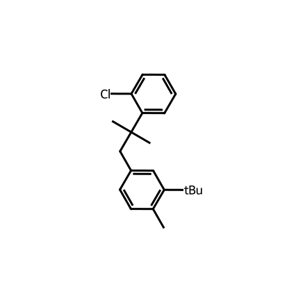 Cc1ccc(CC(C)(C)c2ccccc2Cl)cc1C(C)(C)C